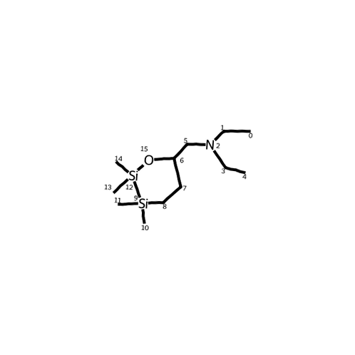 CCN(CC)CC1CC[Si](C)(C)[Si](C)(C)O1